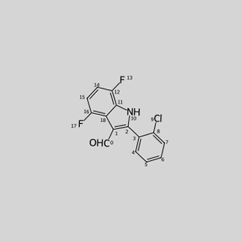 O=Cc1c(-c2ccccc2Cl)[nH]c2c(F)ccc(F)c12